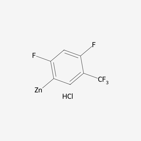 Cl.Fc1cc(F)c(C(F)(F)F)c[c]1[Zn]